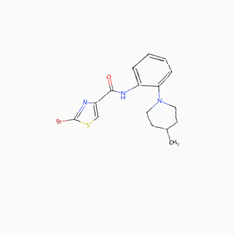 CC1CCN(c2ccccc2NC(=O)c2csc(Br)n2)CC1